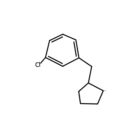 Clc1cccc(CC2[CH]CCC2)c1